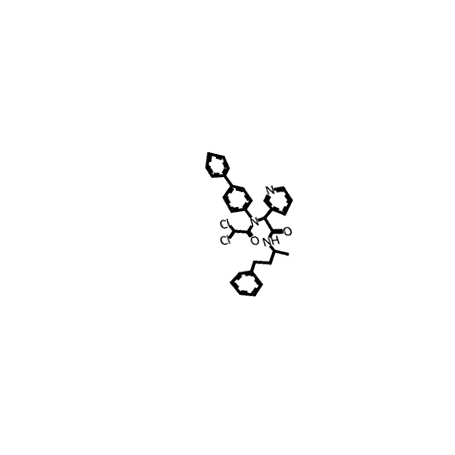 CC(CCc1ccccc1)NC(=O)C(c1cccnc1)N(C(=O)C(Cl)Cl)c1ccc(-c2ccccc2)cc1